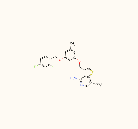 CCOC(=O)c1cnc(N)c2c(COc3cc(C)cc(OCc4ccc(F)cc4F)c3)csc12